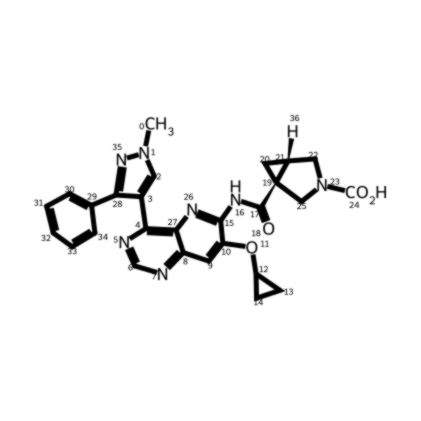 Cn1cc(-c2ncnc3cc(OC4CC4)c(NC(=O)[C@@]45C[C@@H]4CN(C(=O)O)C5)nc23)c(-c2ccccc2)n1